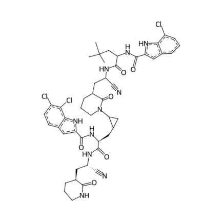 CC(C)(C)CC(NC(=O)c1cc2cccc(Cl)c2[nH]1)C(=O)NC(C#N)CC1CCCN(C2CC2C[C@H](NC(=O)c2cc3ccc(Cl)c(Cl)c3[nH]2)C(=O)N[C@H](C#N)C[C@@H]2CCCNC2=O)C1=O